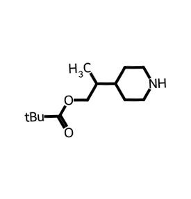 CC(COC(=O)C(C)(C)C)C1CCNCC1